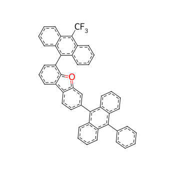 FC(F)(F)c1c2ccccc2c(-c2cccc3c2oc2cc(-c4c5ccccc5c(-c5ccccc5)c5ccccc45)ccc23)c2ccccc12